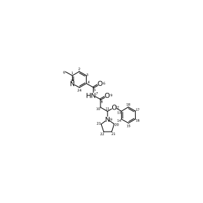 Cc1ccc(C(=O)NC(=O)CC(Oc2ccccc2)N2CCCC2)cn1